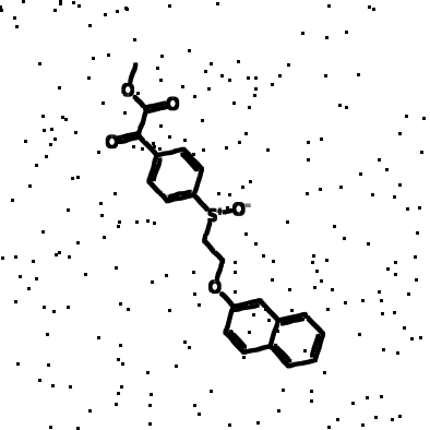 COC(=O)C(=O)c1ccc([S+]([O-])CCOc2ccc3ccccc3c2)cc1